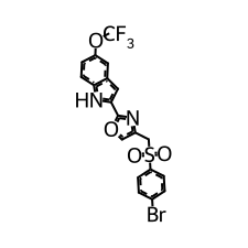 O=S(=O)(Cc1coc(-c2cc3cc(OC(F)(F)F)ccc3[nH]2)n1)c1ccc(Br)cc1